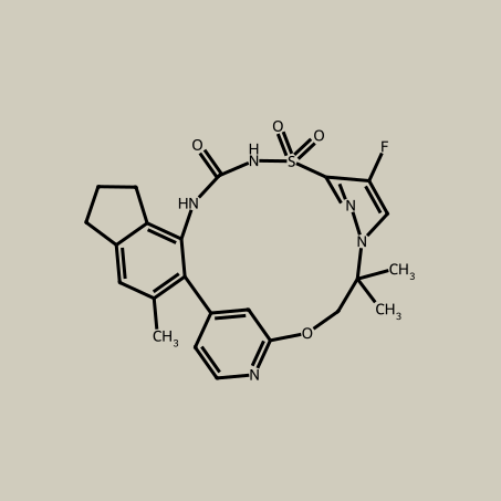 Cc1cc2c(c3c1-c1ccnc(c1)OCC(C)(C)n1cc(F)c(n1)S(=O)(=O)NC(=O)N3)CCC2